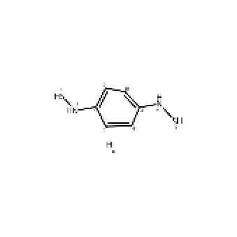 I.SNc1ccc(NS)cc1